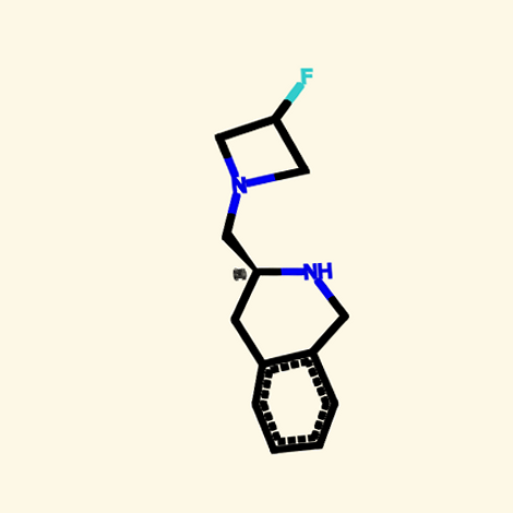 FC1CN(C[C@@H]2Cc3ccccc3CN2)C1